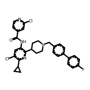 O=C(Nc1cc(Cl)c(C2CC2)nc1C1CCN(Cc2ccc(-c3ccc(F)cc3)cc2)CC1)c1ccnc(Cl)c1